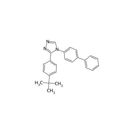 CC(C)(C)c1ccc(-c2nncn2-c2ccc(-c3ccccc3)cc2)cc1